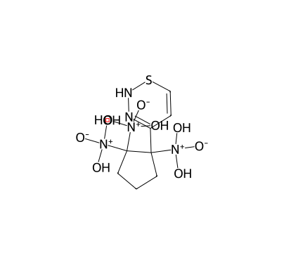 [O-][N+](O)(O)C1(C2=NNSC=C2)CCCC1([N+]([O-])(O)O)[N+]([O-])(O)O